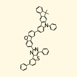 CC1(C)c2ccccc2-c2cc3c4cc(-c5ccc6oc7ccc(-c8nc(-c9ccccc9)c9sc%10ccc(-c%11ccccc%11)cc%10c9n8)cc7c6c5)ccc4n(-c4ccccc4)c3cc21